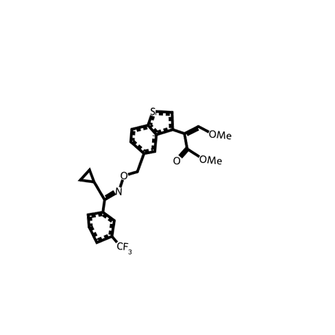 COC=C(C(=O)OC)c1csc2ccc(CON=C(c3cccc(C(F)(F)F)c3)C3CC3)cc12